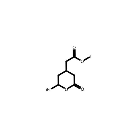 CC(C)C1CC(CC(=O)OI)CC(=O)O1